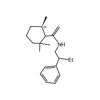 C=C(NCC(CC)c1ccccc1)C1[C@H](C)CCCC1(C)C